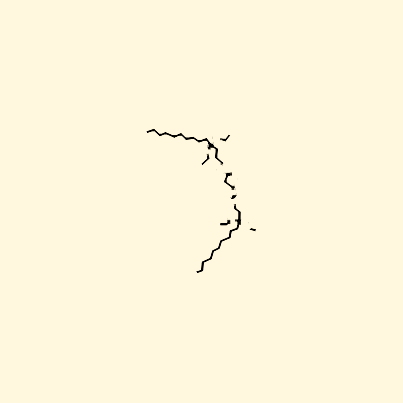 CCCCCCCCCCC(CCCOC(=O)CC(=O)OCCCC(CCCCCCCCCC)(OCC)OCC)(OCC)OCC